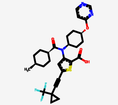 C[C@H]1CC[C@H](C(=O)N(c2cc(C#CC3(C(F)(F)F)CC3)sc2C(=O)O)[C@H]2CC[C@H](Oc3ccncn3)CC2)CC1